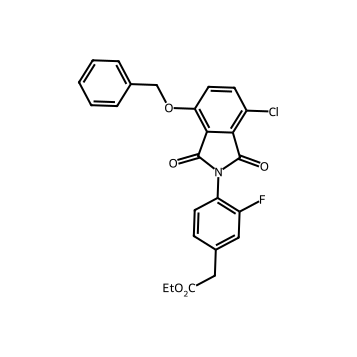 CCOC(=O)Cc1ccc(N2C(=O)c3c(Cl)ccc(OCc4ccccc4)c3C2=O)c(F)c1